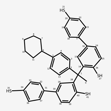 CC(c1ccc(C2CCCCC2)cc1)(c1cc(-c2ccc(S)cc2)ccc1S)c1cc(-c2ccc(S)cc2)ccc1S